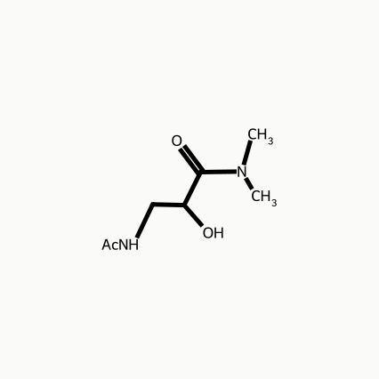 CC(=O)NCC(O)C(=O)N(C)C